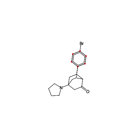 O=C1CC2(N3CCCC3)CC(c3ccccc3)C1C(c1ccc(Br)cc1)C2